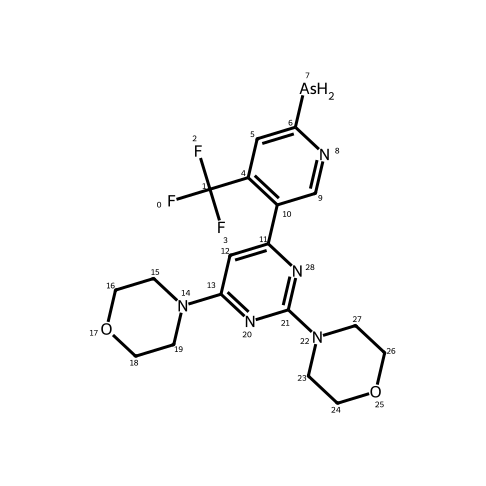 FC(F)(F)c1cc([AsH2])ncc1-c1cc(N2CCOCC2)nc(N2CCOCC2)n1